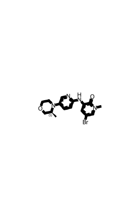 C[C@H]1COCCN1c1ccc(Nc2cc(Br)cn(C)c2=O)nc1